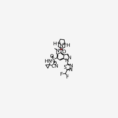 CN(C)C(=O)N1[C@@H]2CC[C@H]1CN(c1cc(S(=O)(=O)NC3(C#N)CC3)cc3c1cnn3-c1nnc(C(F)F)s1)C2